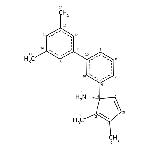 CC1=C(C)[C@@](N)(c2cccc(-c3cc(C)cc(C)c3)c2)C=C1